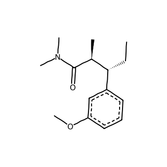 CC[C@H](c1cccc(OC)c1)[C@H](C)C(=O)N(C)C